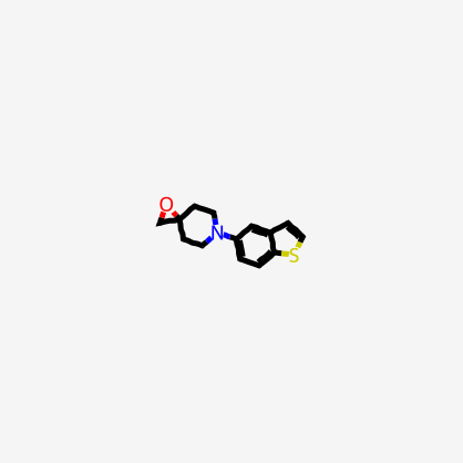 c1cc2cc(N3CCC4(CC3)CO4)ccc2s1